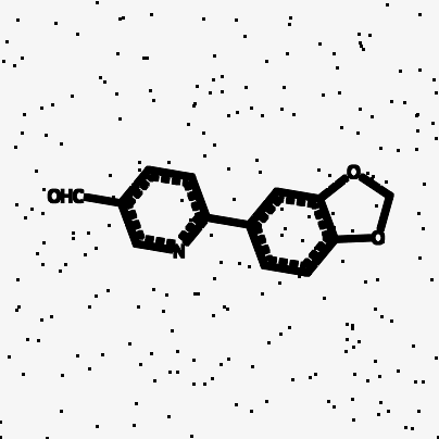 O=Cc1ccc(-c2ccc3c(c2)OCO3)nc1